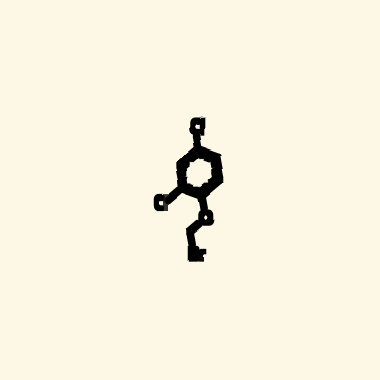 Clc1ccc(OCBr)c(Cl)c1